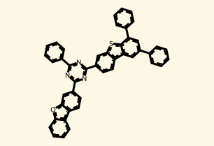 c1ccc(-c2cc(-c3ccccc3)c3sc4cc(-c5nc(-c6ccccc6)nc(-c6ccc7c(c6)oc6ccccc67)n5)ccc4c3c2)cc1